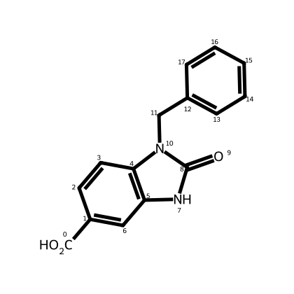 O=C(O)c1ccc2c(c1)[nH]c(=O)n2Cc1ccccc1